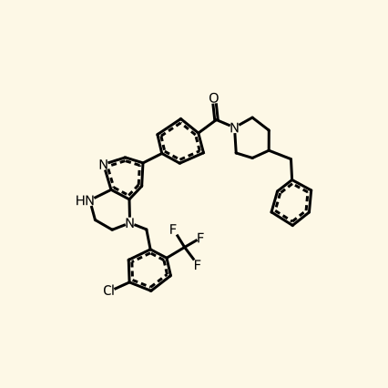 O=C(c1ccc(-c2cnc3c(c2)N(Cc2cc(Cl)ccc2C(F)(F)F)CCN3)cc1)N1CCC(Cc2ccccc2)CC1